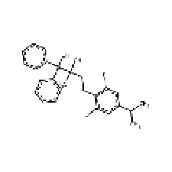 CC(C)c1cc(F)c(CCC(C)(C)[Si](O)(c2ccccc2)c2ccccc2)c(F)c1